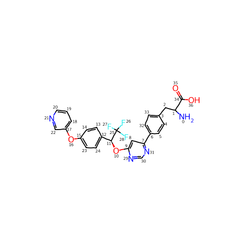 NC(Cc1ccc(-c2cc(O[C@@H](c3ccc(Oc4cccnc4)cc3)C(F)(F)F)ncn2)cc1)C(=O)O